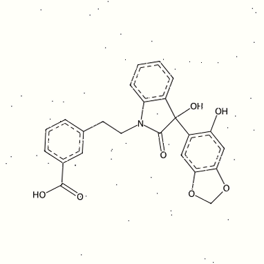 O=C(O)c1cccc(CCN2C(=O)C(O)(c3cc4c(cc3O)OCO4)c3ccccc32)c1